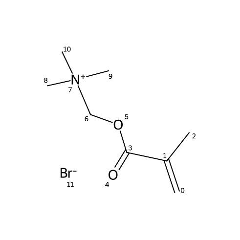 C=C(C)C(=O)OC[N+](C)(C)C.[Br-]